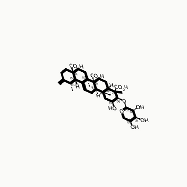 C=C1CC[C@]2(C(=O)O)CC[C@]3(C)C(=CC[C@@H]4[C@@]5(C)C[C@H](O)[C@H](O[C@@H]6OC[C@H](O)[C@H](O)[C@H]6O)[C@@](C)(C(=O)O)[C@@H]5CC[C@]43C(=O)O)[C@@H]2[C@@H]1C